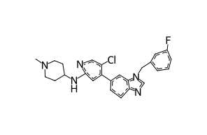 CN1CCC(Nc2cc(-c3ccc4ncn(Cc5cccc(F)c5)c4c3)c(Cl)cn2)CC1